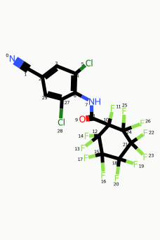 N#Cc1cc(Cl)c(NC(=O)C2(F)C(F)(F)C(F)(F)C(F)(F)C(F)(F)C2(F)F)c(Cl)c1